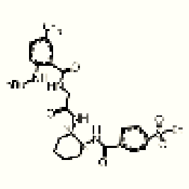 CCCCNc1ccc(C(F)(F)F)cc1C(=O)NCC(=O)N[C@@H]1CCCC[C@@H]1NC(=O)c1ccc(S(=O)(=O)CC)cc1